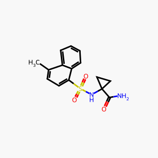 Cc1ccc(S(=O)(=O)NC2(C(N)=O)CC2)c2ccccc12